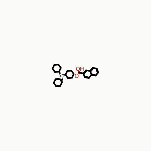 C1CC[CH]([SnH]([CH]2CCCCC2)[CH]2CCCCC2)CC1.O=C(O)c1ccc2ccccc2c1